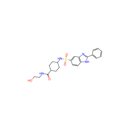 O=C(NCCO)C1CCC(NS(=O)(=O)c2ccc3[nH]c(-c4ccccc4)nc3c2)CC1